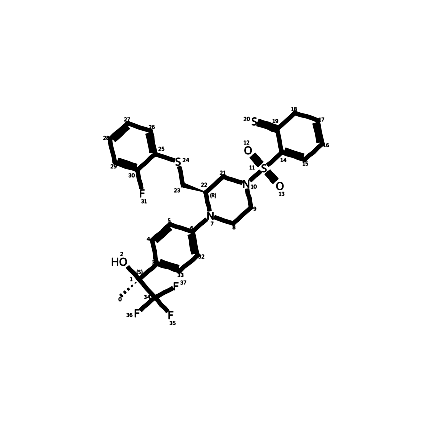 C[C@](O)(c1ccc(N2CCN(S(=O)(=O)C3=CC=CCC3=S)C[C@@H]2CSc2ccccc2F)cc1)C(F)(F)F